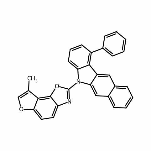 Cc1coc2ccc3nc(-n4c5cc6ccccc6cc5c5c(-c6ccccc6)cccc54)oc3c12